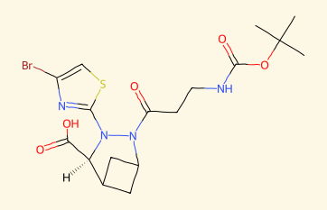 CC(C)(C)OC(=O)NCCC(=O)N1C2CC(C2)[C@@H](C(=O)O)N1c1nc(Br)cs1